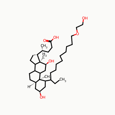 CCC(CCCCCCCCCOCCO)C1C[C@@H](O)C[C@H]2CCC3C(C[C@H](O)[C@@]4(C)C3CC[C@@H]4[C@H](C)CCC(=O)O)[C@@]12C